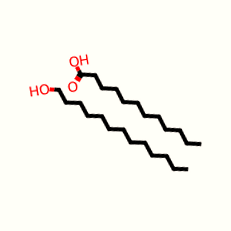 CCCCCCCCCCCC(=O)O.CCCCCCCCCCCCCO